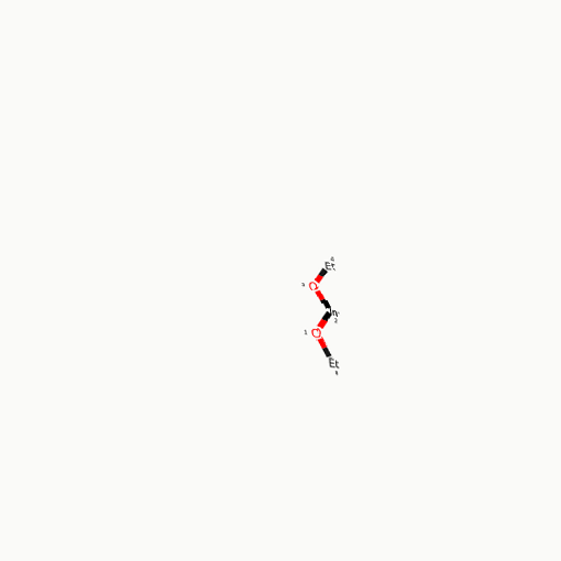 CC[O][In][O]CC